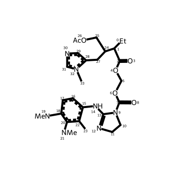 CCC(C(=O)OCOC(=O)N1CCN=C1Nc1ccc(NC)c(NC)c1C)C(COC(C)=O)Cc1cncn1C